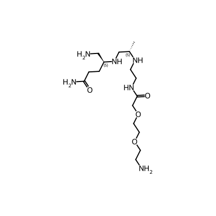 C[C@@H](CN[C@H](CN)CCC(N)=O)NCCNC(=O)COCCOCCN